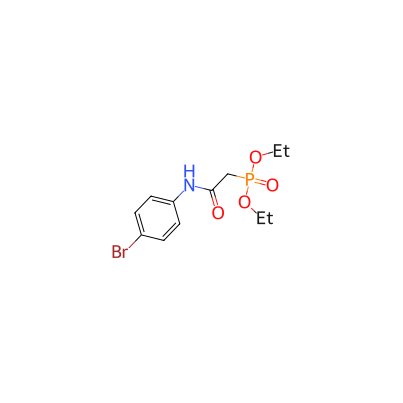 CCOP(=O)(CC(=O)Nc1ccc(Br)cc1)OCC